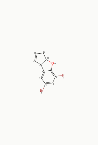 Brc1cc(Br)c2c(c1)C1C=CCC1O2